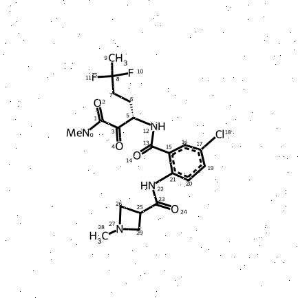 CNC(=O)C(=O)[C@H](CCC(C)(F)F)NC(=O)c1cc(Cl)ccc1NC(=O)C1CN(C)C1